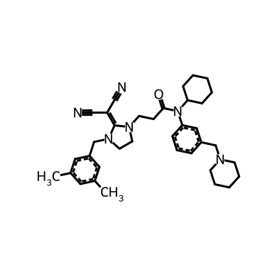 Cc1cc(C)cc(CN2CCN(CCC(=O)N(c3cccc(CN4CCCCC4)c3)C3CCCCC3)C2=C(C#N)C#N)c1